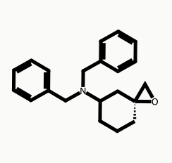 c1ccc(CN(Cc2ccccc2)C2CCC[C@@]3(CO3)C2)cc1